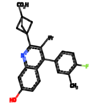 Cc1cc(-c2c(C(C)C)c(C34CC(C(=O)O)(C3)C4)nc3cc(O)ccc23)ccc1F